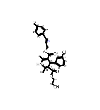 CC1=C(C(=O)OC/C=C/c2ccc(C)cc2)C(c2cccc(Cl)c2)C(C(=O)OCCC#N)=C(C)N1